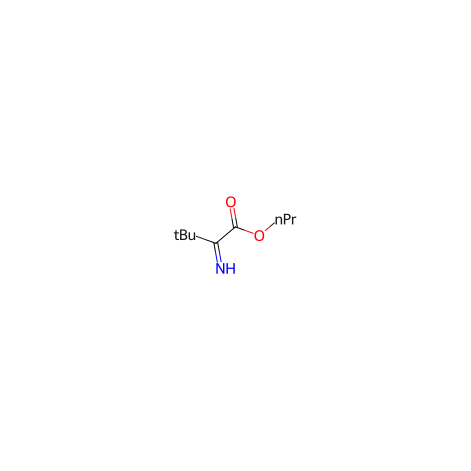 CCCOC(=O)C(=N)C(C)(C)C